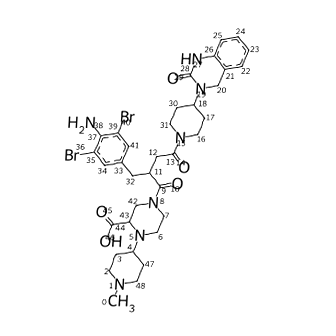 CN1CCC(N2CCN(C(=O)C(CC(=O)N3CCC(N4Cc5ccccc5NC4=O)CC3)Cc3cc(Br)c(N)c(Br)c3)CC2C(=O)O)CC1